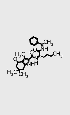 CCCC[C@@H](NC(=O)c1[nH]c2c(c1C)C(=O)CC(C)(C)C2)C(=O)N[C@H](C)c1ccccc1